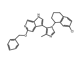 Cc1ncn(C2CCCc3ccc(Cl)cc32)c1-c1c[nH]c2cnc(OCc3ccccc3)cc12